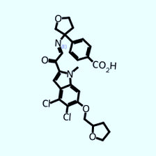 Cn1c(C(=O)/C=N/C2(c3ccc(C(=O)O)cc3)CCOC2)cc2c(Cl)c(Cl)c(OCC3CCCO3)cc21